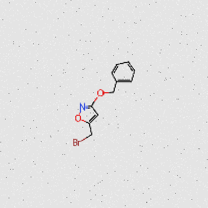 BrCc1cc(OCc2ccccc2)no1